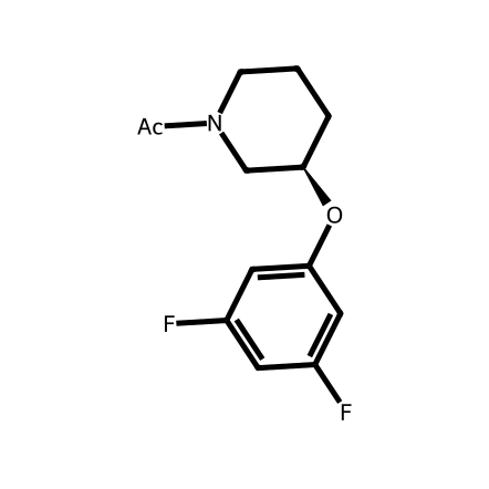 CC(=O)N1CCC[C@@H](Oc2cc(F)cc(F)c2)C1